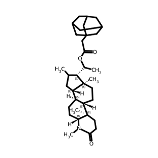 CC1C[C@H]2[C@@H]3CC[C@H]4N(C)C(=O)CC[C@]4(C)[C@H]3CC[C@]2(C)[C@H]1C(C)OC(=O)CC12CC3CC(CC(C3)C1)C2